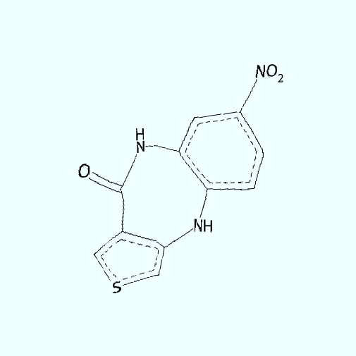 O=C1Nc2cc([N+](=O)[O-])ccc2Nc2cscc21